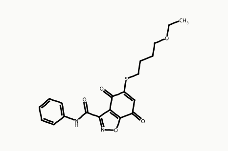 CCOCCCCSC1=CC(=O)c2onc(C(=O)Nc3ccccc3)c2C1=O